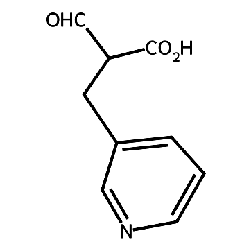 O=CC(Cc1cccnc1)C(=O)O